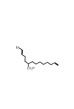 C=CCCCCCCC(CCC=CCC)C(=O)O